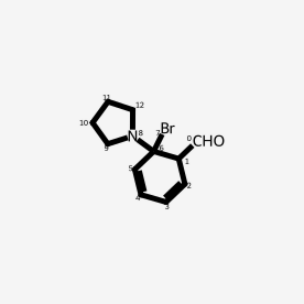 O=CC1C=CC=CC1(Br)N1CCCC1